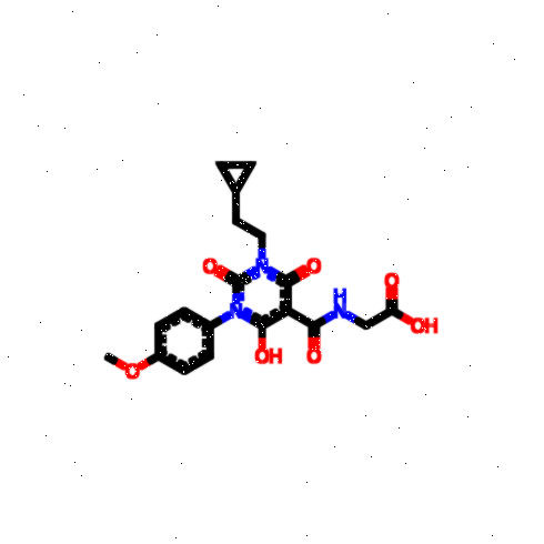 COc1ccc(-n2c(O)c(C(=O)NCC(=O)O)c(=O)n(CCC3CC3)c2=O)cc1